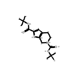 CC(C)(C)OC(=O)c1cc2c(s1)CN(C(=O)OC(C)(C)C)CC2